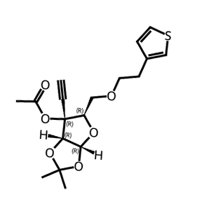 C#C[C@@]1(OC(C)=O)[C@@H](COCCc2ccsc2)O[C@@H]2OC(C)(C)O[C@@H]21